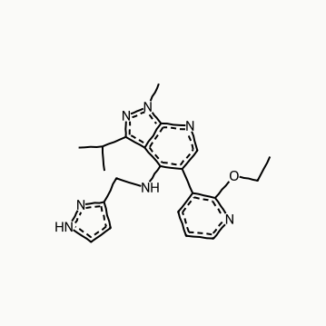 CCOc1ncccc1-c1cnc2c(c(C(C)C)nn2C)c1NCc1cc[nH]n1